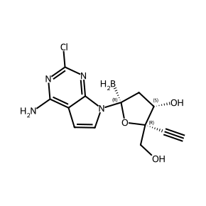 B[C@]1(n2ccc3c(N)nc(Cl)nc32)C[C@H](O)[C@@](C#C)(CO)O1